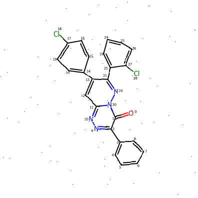 O=c1c(-c2ccccc2)nnc2cc(-c3ccc(Cl)cc3)c(-c3ccccc3Cl)nn12